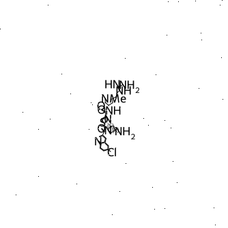 CNC(=O)C(CCCCNC(=N)N)NC(=O)c1csc([C@@H]2C[C@@H](N)CN2C(=O)c2cnc3ccc(Cl)cc3c2)n1